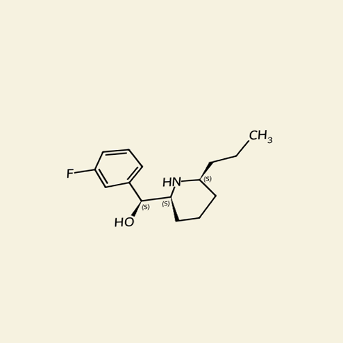 CCC[C@H]1CCC[C@@H]([C@@H](O)c2cccc(F)c2)N1